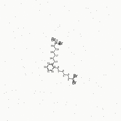 BrC(Br)CCCCCCc1ccccc1CCCCCCC(Br)Br